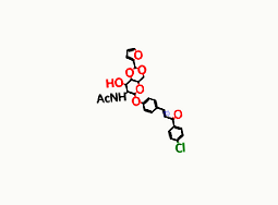 CC(=O)NC1C(Oc2ccc(/C=C/C(=O)c3ccc(Cl)cc3)cc2)OC2COC(c3ccco3)OC2C1O